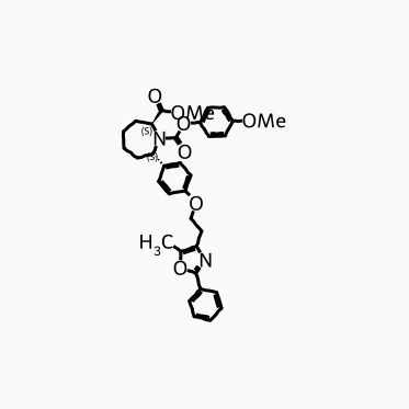 COC(=O)[C@@H]1CCCC[C@@H](c2ccc(OCCc3nc(-c4ccccc4)oc3C)cc2)N1C(=O)Oc1ccc(OC)cc1